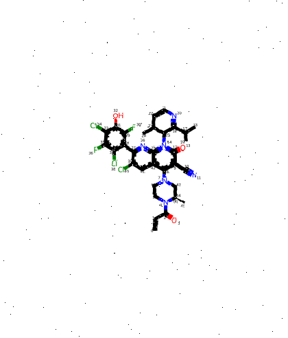 C=CC(=O)N1CCN(c2c(C#N)c(=O)n(C3C(C(C)C)=NC=CC3C)c3nc(-c4c(F)c(O)c(Cl)c(F)c4Cl)c(Cl)cc23)C[C@H]1C